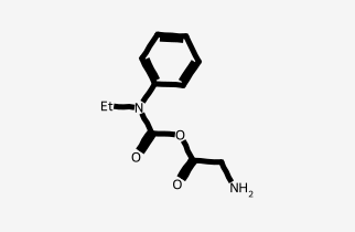 CCN(C(=O)OC(=O)CN)c1ccccc1